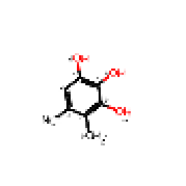 [CH2]c1c(C#N)cc(O)c(O)c1O